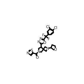 O=C(c1cncs1)N1CC(c2nnc(C(F)(F)c3ccc(Cl)c(Cl)c3)o2)C2(C1)CN(C1CCOC1)C2